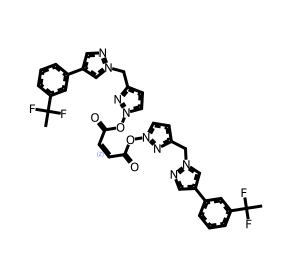 CC(F)(F)c1cccc(-c2cnn(Cc3ccn(OC(=O)/C=C\C(=O)On4ccc(Cn5cc(-c6cccc(C(C)(F)F)c6)cn5)n4)n3)c2)c1